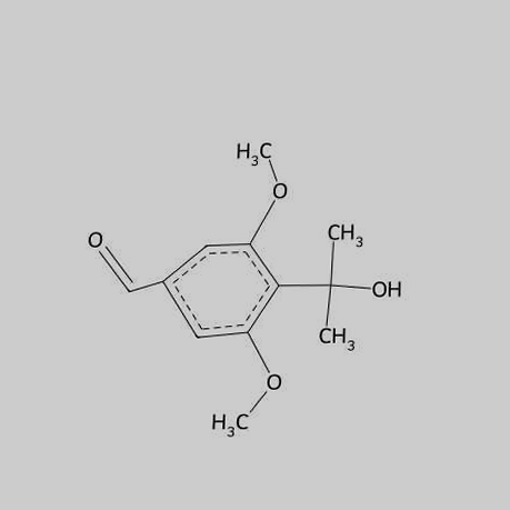 COc1cc(C=O)cc(OC)c1C(C)(C)O